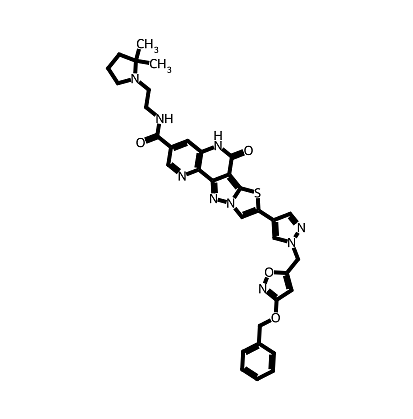 CC1(C)CCCN1CCNC(=O)c1cnc2c(c1)[nH]c(=O)c1c2nn2cc(-c3cnn(Cc4cc(OCc5ccccc5)no4)c3)sc12